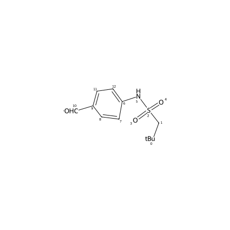 CC(C)(C)CS(=O)(=O)Nc1ccc([C]=O)cc1